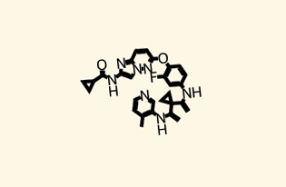 C=C(Nc1ccc(Oc2ccc3nc(NC(=O)C4CC4)cn3n2)c(F)c1)C1(C(=C)Nc2cnccc2C)CC1